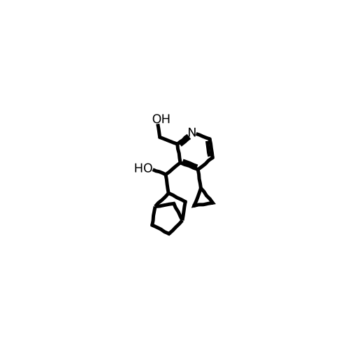 OCc1nccc(C2CC2)c1C(O)C1CC2CCC1C2